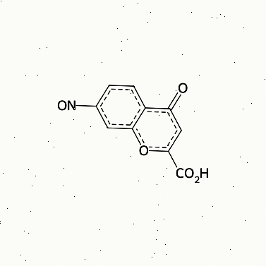 O=Nc1ccc2c(=O)cc(C(=O)O)oc2c1